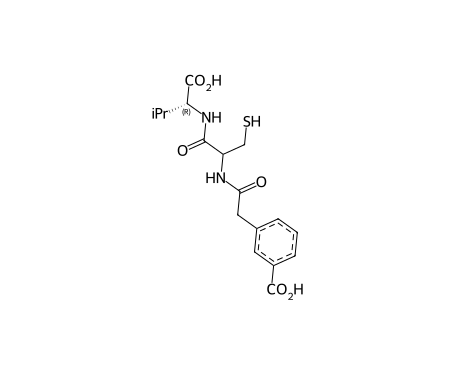 CC(C)[C@@H](NC(=O)C(CS)NC(=O)Cc1cccc(C(=O)O)c1)C(=O)O